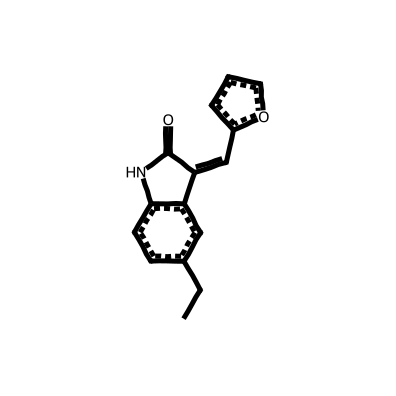 CCc1ccc2c(c1)/C(=C/c1ccco1)C(=O)N2